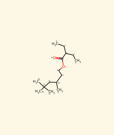 CCC(CC)C(=O)OCCC(C)CC(C)(C)C